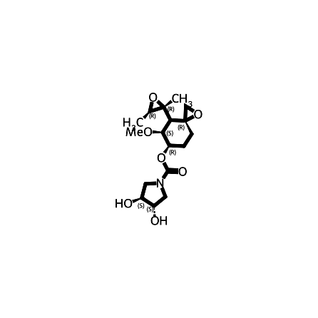 CO[C@H]1C([C@@]2(C)O[C@@H]2C)[C@]2(CC[C@H]1OC(=O)N1C[C@H](O)[C@@H](O)C1)CO2